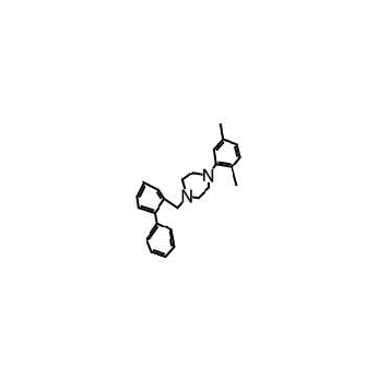 Cc1ccc(C)c(N2CCN(Cc3ccccc3-c3ccccc3)CC2)c1